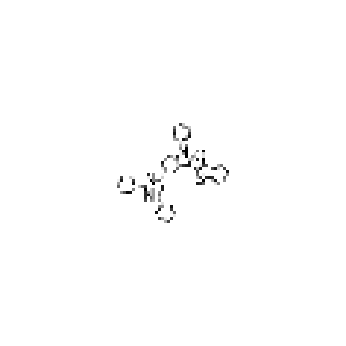 c1ccc(-c2cc(-c3ccc4c(c3)c3c5sc6ccccc6c5oc3n4-c3ccccc3)nc(-c3ccccc3)n2)cc1